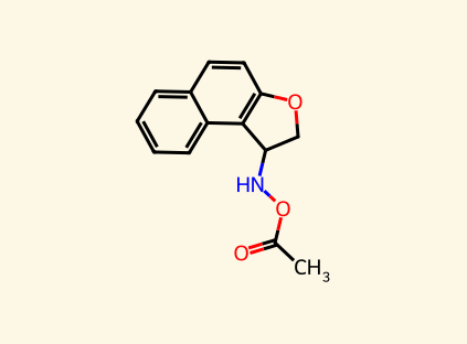 CC(=O)ONC1COc2ccc3ccccc3c21